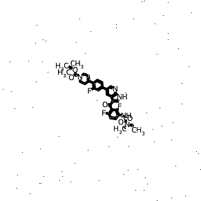 CCN(C)S(=O)(=O)Nc1ccc(F)c(C(=O)c2c[nH]c3ncc(-c4ccc(C5=CCN(C(=O)OC(C)(C)C)CC5)c(F)c4)cc23)c1F